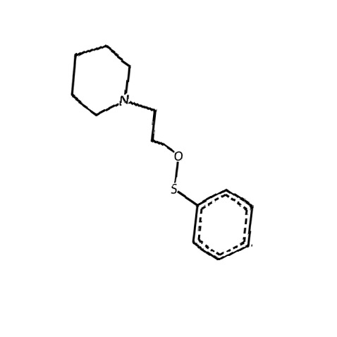 [c]1ccc(SOCCN2CCCCC2)cc1